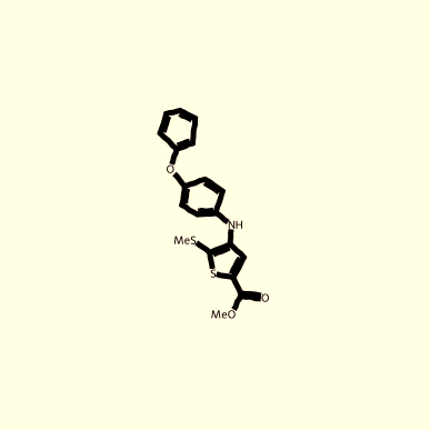 COC(=O)c1cc(Nc2ccc(Oc3ccccc3)cc2)c(SC)s1